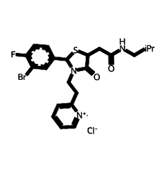 CC(C)CNC(=O)CC1SC(c2ccc(F)c(Br)c2)N(CCC2=CC=CC=[N+]2)C1=O.[Cl-]